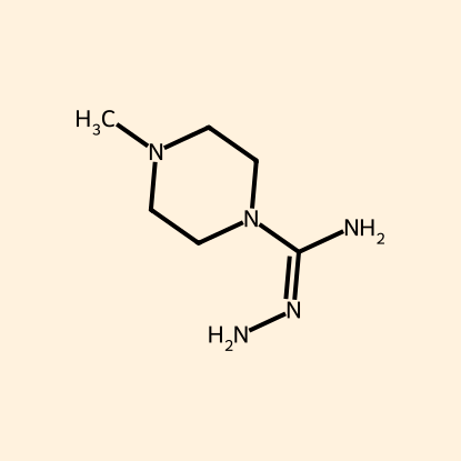 CN1CCN(/C(N)=N\N)CC1